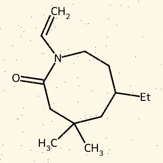 C=CN1CCC(CC)CC(C)(C)CC1=O